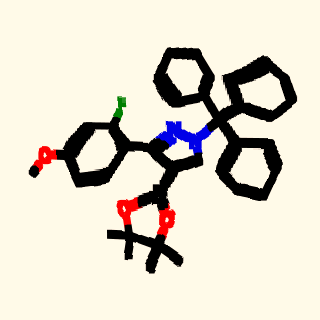 COc1ccc(-c2nn(C(c3ccccc3)(c3ccccc3)c3ccccc3)cc2B2OC(C)(C)C(C)(C)O2)c(F)c1